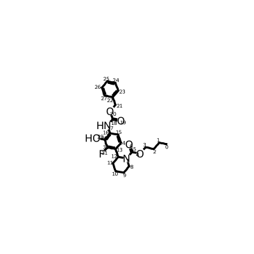 CCCCOC(=O)N1CCCCC1c1ccc(NC(=O)OCc2ccccc2)c(O)c1F